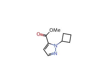 COC(=O)c1ccnn1C1CCC1